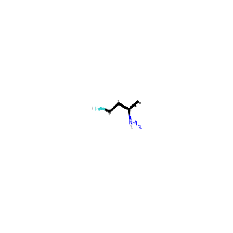 CC(N)CCF